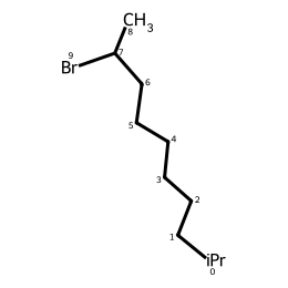 CC(C)CCCCCCC(C)Br